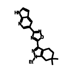 CCn1nc(-c2nc(-c3cnc4[nH]ccc4c3)no2)c2c1CC(C)(C)CC2